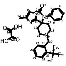 CC(=O)N(c1ccccc1)C1(c2nc(C)cs2)CCN(Cc2ccccc2C(F)(F)F)CC1.O=C(O)C(=O)O